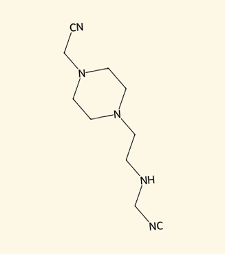 [C-]#[N+]CNCCN1CCN(CC#N)CC1